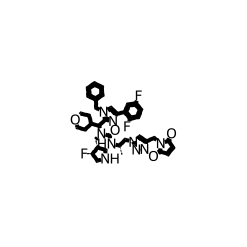 C[C@@H](Cn1cc(CN2C(=O)C=CC2=O)nn1)NC(=O)N(C[C@@H]1CNC[C@@H]1F)C(c1nc(-c2cc(F)ccc2F)cn1Cc1ccccc1)C1CCOCC1